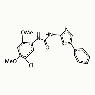 COc1cc(OC)c(NC(=O)Nc2ncc(-c3ccccc3)s2)cc1Cl